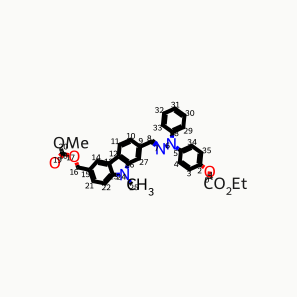 CCOC(=O)Oc1ccc(N(N=Cc2ccc3c4cc(COC(=O)OC)ccc4n(C)c3c2)c2ccccc2)cc1